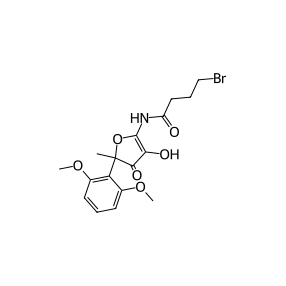 COc1cccc(OC)c1C1(C)OC(NC(=O)CCCBr)=C(O)C1=O